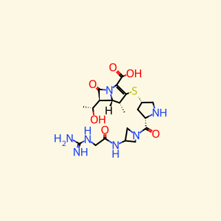 C[C@@H](O)[C@H]1C(=O)N2C(C(=O)O)=C(S[C@@H]3CN[C@H](C(=O)N4CC(NC(=O)CNC(=N)N)C4)C3)[C@H](C)[C@H]12